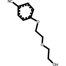 N#Cc1ccc(OCCOCCO)cc1